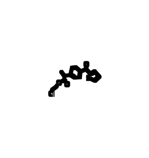 CC(C(=O)OCCCl)c1ccc(C(=O)c2cccs2)cc1